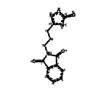 O=C1c2ccccc2C(=O)N1CCCc1noc(=O)[nH]1